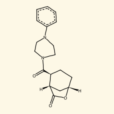 O=C1O[C@H]2CC[C@H](C(=O)N3CCN(c4ccccc4)CC3)[C@@H]1C2